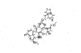 COC[C@H]1C[C@H]2COc3c(Cl)c(-c4ccc(F)c5sc(N)c(C#N)c45)c(F)c4nc(OCC[C@@]56CCCN5C[C@H](F)C6)nc(c34)N21